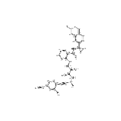 C/C=c1/ccc(C2(NC(=O)c3ccccc3CNC(=O)C(=O)N[C@@H](C)C#Cc3ccc(C#N)cc3F)CC2)c/c1=C/CC